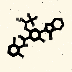 C[C@H](Oc1cc(-n2nc3n(c2=O)CCOC3)c(F)cc1C(=O)Nc1c(F)cccc1F)C(F)(F)F